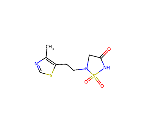 Cc1ncsc1CCN1CC(=O)NS1(=O)=O